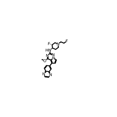 COc1nc(N[C@@H]2CCN(CCF)C[C@H]2F)nn2ccc(-c3ccc4nccnc4c3)c12